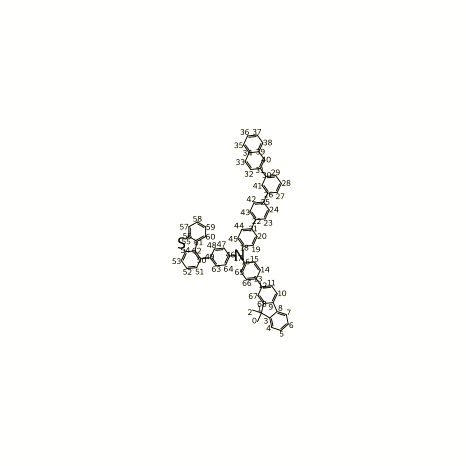 CC1(C)c2ccccc2-c2ccc(-c3ccc(N(c4ccc(-c5ccc(-c6cccc(-c7ccc8ccccc8c7)c6)cc5)cc4)c4ccc(-c5cccc6sc7ccccc7c56)cc4)cc3)cc21